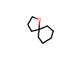 [CH]1CCCC2(C1)CCCO2